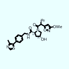 COc1cc(C(C(=O)N2C[C@H](O)C[C@H]2C(=O)NCc2ccc(-c3scnc3C)cc2)C(C)C)on1